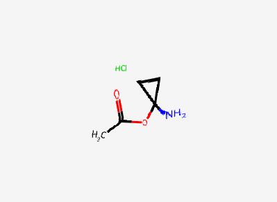 CC(=O)OC1(N)CC1.Cl